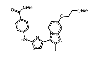 CNC(=O)c1ccc(Nc2nc(-c3c(C)nc4cc(OCCOC)ccn34)cs2)cc1